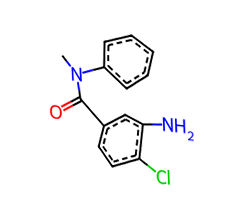 CN(C(=O)c1ccc(Cl)c(N)c1)c1ccccc1